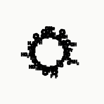 CCCC[C@H]1C(=O)N2C[C@@H](O)C[C@@H]2C(=O)N[C@@H](CC(=O)O)C(=O)N[C@@H](C(C)C)C(=O)N(C)[C@H](Cc2ccccc2)C(=O)N[C@@H](Cc2ccc(OC)cc2)C(=O)N2C[C@@H](O)C[C@@H]2C(=O)N[C@@H](Cc2c[nH]c3ccccc23)C(=O)N[C@@H](Cc2ccc(O)cc2)C(=O)N[C@@H](CC(C)C)C(=O)N[C@H](C(=O)NCC(N)=O)CSCC(=O)N[C@@H](Cc2ccc(F)c(F)c2)C(=O)N(C)C(Cc2ccccc2)C(=O)N1C